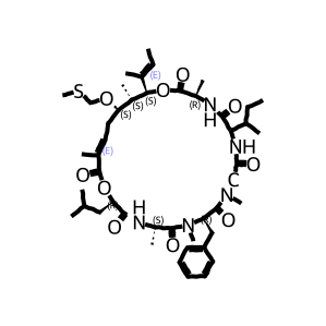 C/C=C(\C)[C@H]1OC(=O)[C@@H](C)NC(=O)C(C(C)CC)NC(=O)CN(C)C(=O)[C@@H](Cc2ccccc2)N(C)C(=O)[C@H](C)NC(=O)[C@@H](CC(C)C)OC(=O)/C(C)=C/C[C@H](OCSC)[C@@H]1C